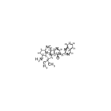 CC(C)=CCn1c(N2CCCC(N)C2)c(C#N)c2ncn(Cc3ncc4ccccc4n3)c(=O)c21